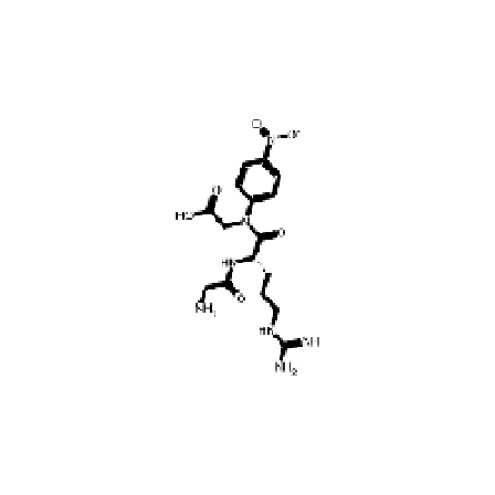 N=C(N)NCCC[C@H](NC(=O)CN)C(=O)N(CC(=O)O)c1ccc([N+](=O)[O-])cc1